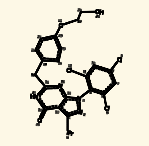 CC(C)c1nn(-c2c(Cl)cc(Cl)cc2Cl)c2nc(Cc3ccc(OCCO)cc3)[nH]c(=O)c12